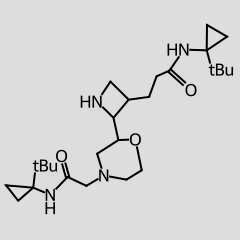 CC(C)(C)C1(NC(=O)CCC2CNC2C2CN(CC(=O)NC3(C(C)(C)C)CC3)CCO2)CC1